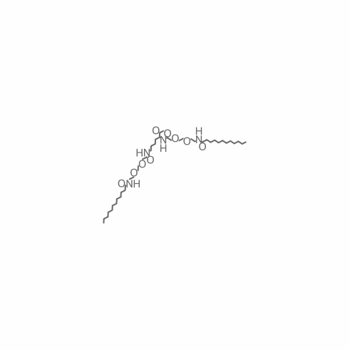 CCCCCCCCCCCC(=O)NCCOCCOCC(=O)NCCCCC(NC(=O)COCCOCCNC(=O)CCCCCCCCCCC)C(C)=O